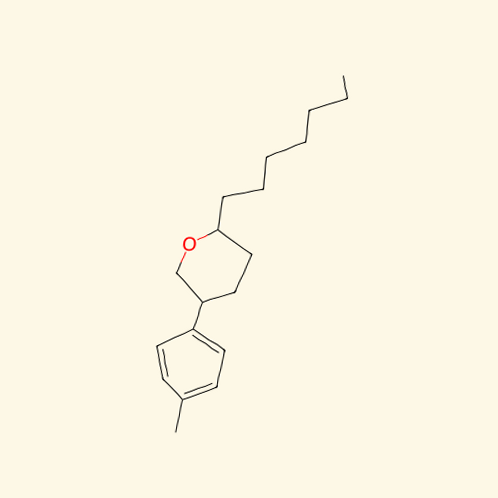 CCCCCCCC1CCC(c2ccc(C)cc2)CO1